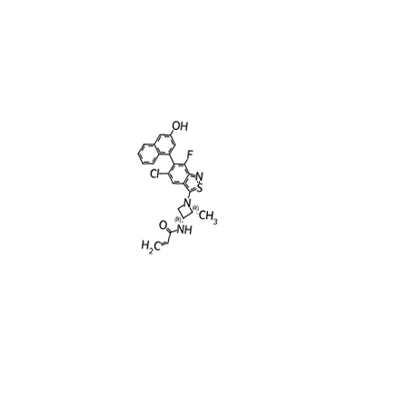 C=CC(=O)N[C@@H]1CN(c2snc3c(F)c(-c4cc(O)cc5ccccc45)c(Cl)cc23)[C@@H]1C